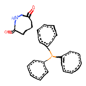 O=C1CCC(=O)N1.c1ccc(P(c2ccccc2)c2ccccc2)cc1